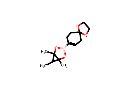 CC1C2(C)OB(C3=CCC4(CC3)OCCO4)OC12C